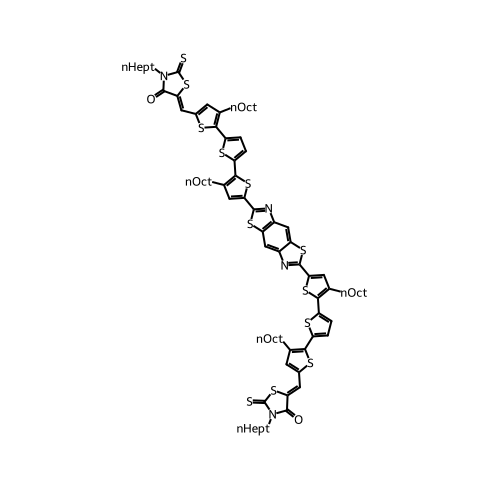 CCCCCCCCc1cc(/C=C2\SC(=S)N(CCCCCCC)C2=O)sc1-c1ccc(-c2sc(-c3nc4cc5sc(-c6cc(CCCCCCCC)c(-c7ccc(-c8sc(/C=C9\SC(=S)N(CCCCCCC)C9=O)cc8CCCCCCCC)s7)s6)nc5cc4s3)cc2CCCCCCCC)s1